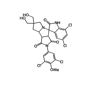 COc1c(Cl)cc(N2C(=O)C3C4CC(CO)(CO)CN4C4(C(=O)Nc5c(Cl)cc(Cl)cc54)C3C2=O)cc1Cl